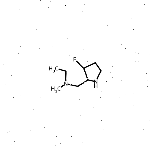 CCN(C)CC1NCCC1F